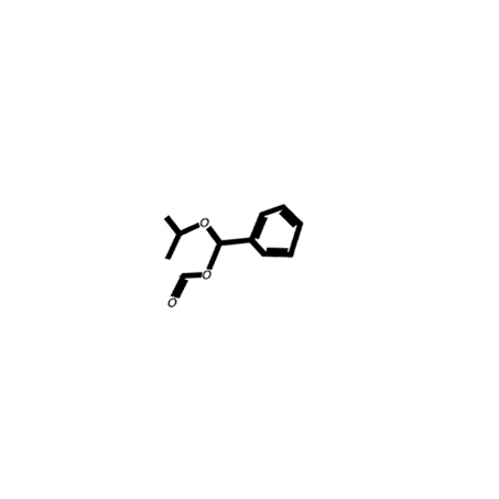 CC(C)OC(O[C]=O)c1ccccc1